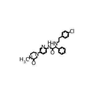 CN1CCN(c2ccc(NC(=O)C(NCCc3ccc(Cl)cc3)c3ccccc3)nc2)CC1=O